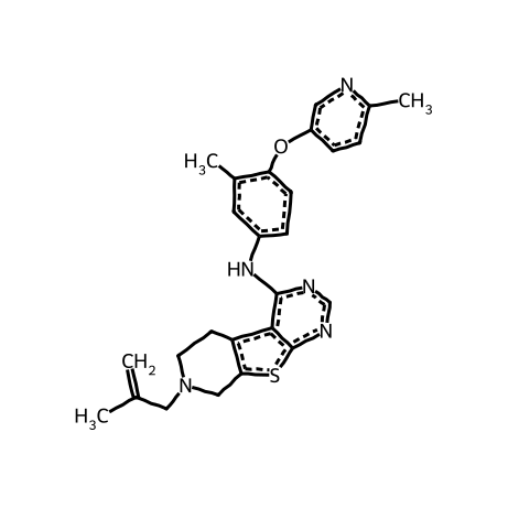 C=C(C)CN1CCc2c(sc3ncnc(Nc4ccc(Oc5ccc(C)nc5)c(C)c4)c23)C1